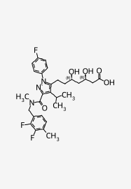 Cc1ccc(CN(C)C(=O)c2nn(-c3ccc(F)cc3)c(CC[C@@H](O)C[C@@H](O)CC(=O)O)c2C(C)C)c(F)c1F